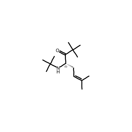 CC(C)=CC[C@H](NC(C)(C)C)C(=O)C(C)(C)C